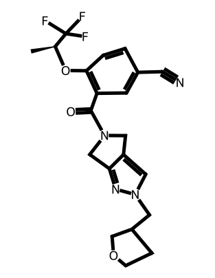 C[C@H](Oc1ccc(C#N)cc1C(=O)N1Cc2cn(CC3CCOC3)nc2C1)C(F)(F)F